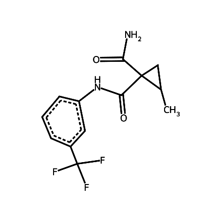 CC1CC1(C(N)=O)C(=O)Nc1cccc(C(F)(F)F)c1